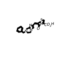 O=C(O)C1=CSC2C(=Cc3cn4c(n3)CN(Cc3ccccc3)CC4)C(=O)N12